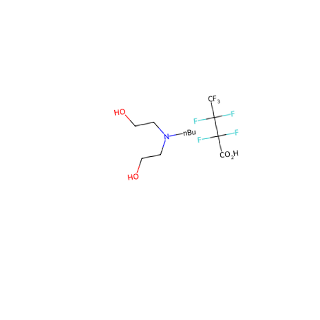 CCCCN(CCO)CCO.O=C(O)C(F)(F)C(F)(F)C(F)(F)F